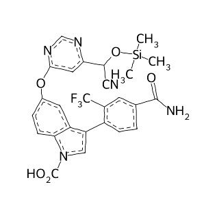 C[Si](C)(C)OC(C#N)c1cc(Oc2ccc3c(c2)c(-c2ccc(C(N)=O)cc2C(F)(F)F)cn3C(=O)O)ncn1